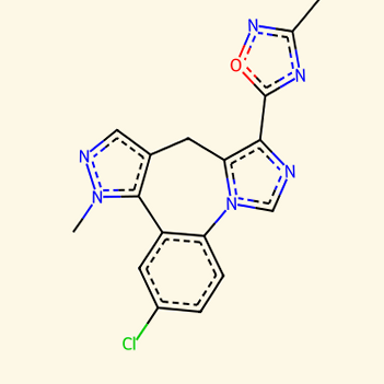 Cc1noc(-c2ncn3c2Cc2cnn(C)c2-c2cc(Cl)ccc2-3)n1